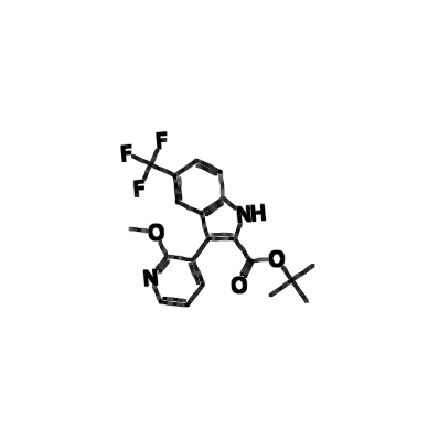 COc1ncccc1-c1c(C(=O)OC(C)(C)C)[nH]c2ccc(C(F)(F)F)cc12